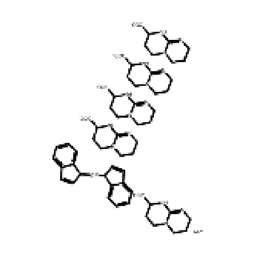 C1=C[CH]([Zr+2][CH]2C=Cc3ccccc32)c2ccccc21.O=C([O-])C1CCN2CCCN=C2N1.O=C([O-])C1CCN2CCCN=C2N1.O=C([O-])C1CCN2CCCN=C2N1.O=C([O-])C1CCN2CCCN=C2N1.O=C([O-])C1CCN2CCCN=C2N1.[Ga+3]